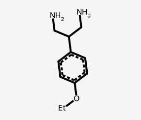 CCOc1ccc(C(CN)CN)cc1